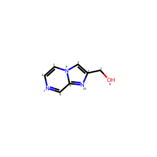 OCc1cn2ccncc2n1